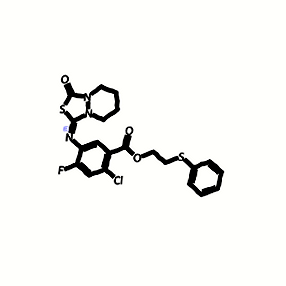 O=C(OCCSc1ccccc1)c1cc(/N=c2/sc(=O)n3n2CCCC3)c(F)cc1Cl